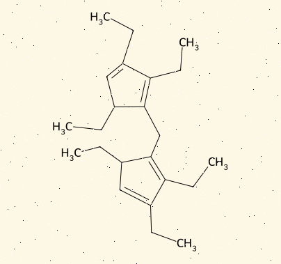 CCC1=CC(CC)C(CC2=C(CC)C(CC)=CC2CC)=C1CC